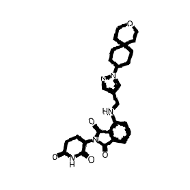 O=C1CCC(N2C(=O)c3cccc(NCc4cnn(C5CCC6(CCOCC6)CC5)c4)c3C2=O)C(=O)N1